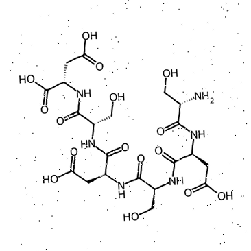 N[C@@H](CO)C(=O)N[C@@H](CC(=O)O)C(=O)N[C@@H](CO)C(=O)N[C@@H](CC(=O)O)C(=O)N[C@@H](CO)C(=O)N[C@@H](CC(=O)O)C(=O)O